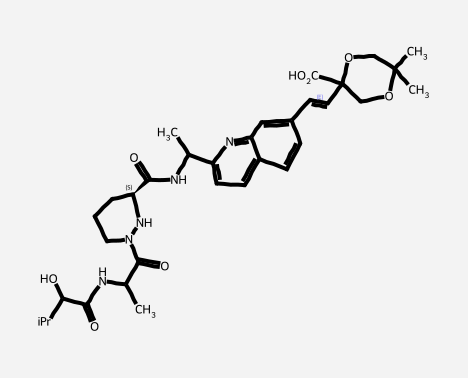 CC(NC(=O)C(O)C(C)C)C(=O)N1CCC[C@@H](C(=O)NC(C)c2ccc3ccc(/C=C/C4(C(=O)O)COC(C)(C)CO4)cc3n2)N1